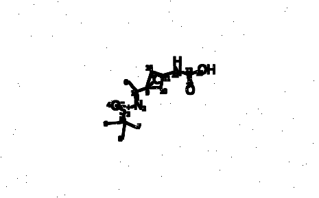 CC(=N[S+]([O-])C(C)(C)C)C12CC(NC(=O)O)(C1)C2